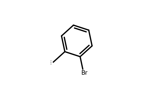 [C]c1ccccc1Br